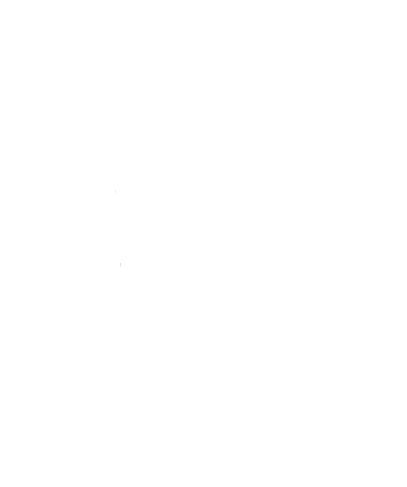 CC1OC2=C(CCCO2)C1c1ccsc1